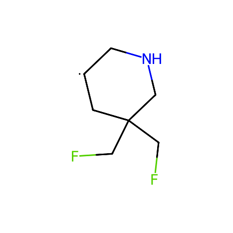 FCC1(CF)C[CH]CNC1